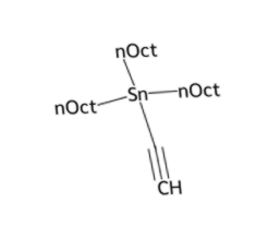 C#[C][Sn]([CH2]CCCCCCC)([CH2]CCCCCCC)[CH2]CCCCCCC